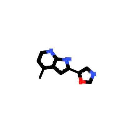 Cc1ccnc2[nH]c(-c3cnco3)cc12